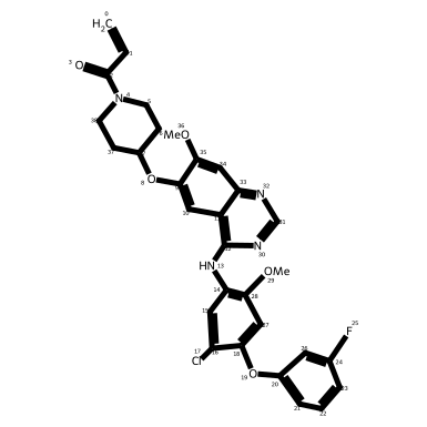 C=CC(=O)N1CCC(Oc2cc3c(Nc4cc(Cl)c(Oc5cccc(F)c5)cc4OC)ncnc3cc2OC)CC1